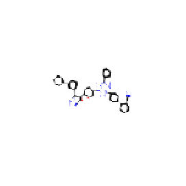 N#Cc1ccccc1-c1ccc(-c2nc(-c3ccccc3)nc(-c3ccc4c(c3)oc3cncc(-c5cccc(-c6ccccc6)c5)c34)n2)cc1